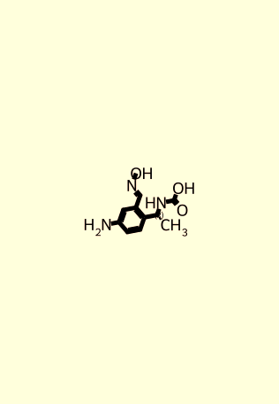 C[C@@H](NC(=O)O)c1ccc(N)cc1C=NO